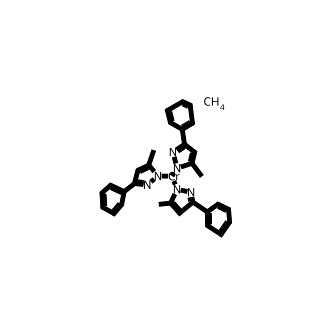 C.Cc1cc(-c2ccccc2)n[n]1[Cr]([n]1nc(-c2ccccc2)cc1C)[n]1nc(-c2ccccc2)cc1C